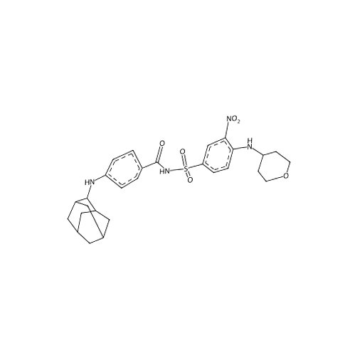 O=C(NS(=O)(=O)c1ccc(NC2CCOCC2)c([N+](=O)[O-])c1)c1ccc(NC2C3CC4CC(C3)CC2C4)cc1